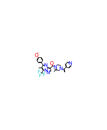 C=C(c1ccncc1)N1CCN(C(=O)c2cnn3c(C(F)(F)F)c(C)c(-c4ccc(OC)cc4)nc23)[C@H](C)C1